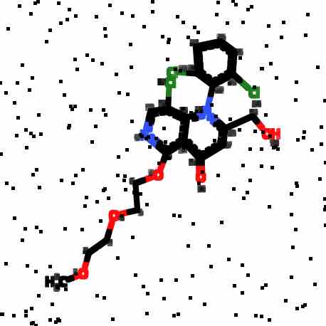 COCCOCCOc1ncc(Cl)c2c1c(=O)cc(CO)n2-c1c(Cl)cccc1Cl